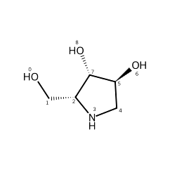 OC[C@H]1NC[C@H](O)[C@H]1O